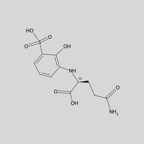 NC(=O)CC[C@H](Nc1cccc(S(=O)(=O)O)c1O)C(=O)O